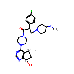 CNC1CCN(CC(C(=O)N2CCN(c3ncnc4c3[C@H](C)C[C@H]4O)CC2)c2ccc(Cl)cc2)CC1